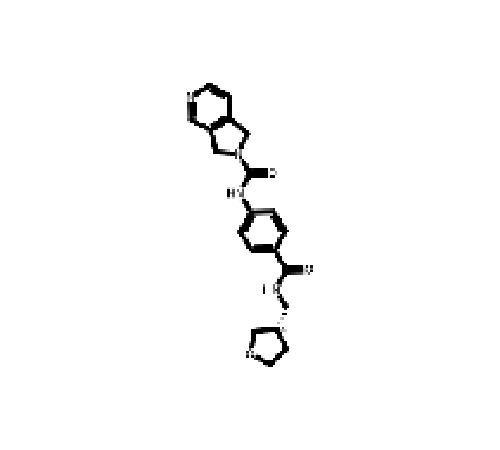 O=C(NC[C@@H]1CCOC1)c1ccc(NC(=O)N2Cc3ccncc3C2)cc1